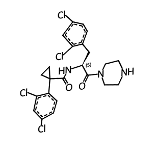 O=C([C@H](Cc1ccc(Cl)cc1Cl)NC(=O)C1(c2ccc(Cl)cc2Cl)CC1)N1CCNCC1